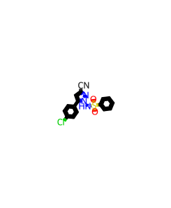 N#Cc1cc(-c2ccc(Cl)cc2)n(NS(=O)(=O)c2ccccc2)n1